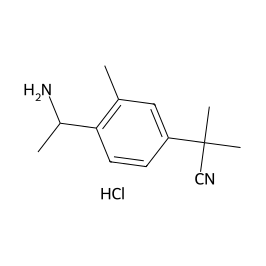 Cc1cc(C(C)(C)C#N)ccc1C(C)N.Cl